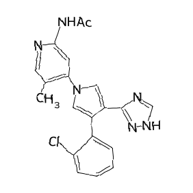 CC(=O)Nc1cc(-n2cc(-c3nc[nH]n3)c(-c3ccccc3Cl)c2)c(C)cn1